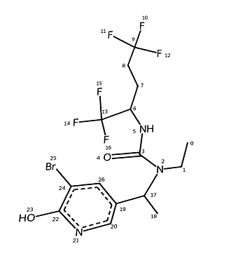 CCN(C(=O)NC(CCC(F)(F)F)C(F)(F)F)C(C)c1cnc(O)c(Br)c1